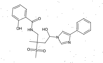 CC(CNC(=O)c1ccccc1O)(CC(O)n1cnc(-c2ccccc2)c1)S(C)(=O)=O